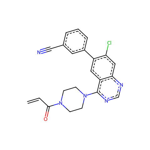 C=CC(=O)N1CCN(c2ncnc3cc(Cl)c(-c4cccc(C#N)c4)cc23)CC1